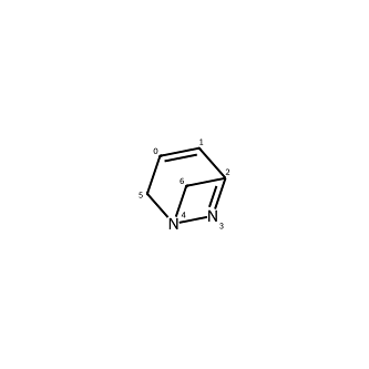 C1=CC2=NN(C1)C2